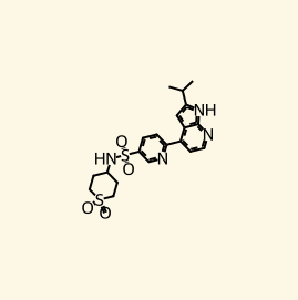 CC(C)c1cc2c(-c3ccc(S(=O)(=O)NC4CCS(=O)(=O)CC4)cn3)ccnc2[nH]1